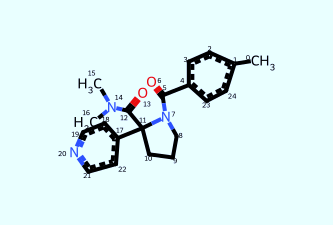 Cc1ccc(C(=O)N2CCCC2(C(=O)N(C)C)c2ccncc2)cc1